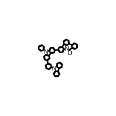 O=c1c2ccccc2c2cccc3c4cc(-c5ccc6c(c5)c5cc(-c7cccc(-n8c9ccccc9c9ccccc98)c7)ccc5n6-c5ccccc5)ccc4n1c23